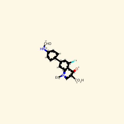 CCn1cc(C(=O)O)c(=O)c2c(F)cc(-c3ccc(NC=O)cc3)cc21